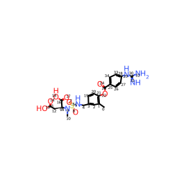 Cc1cc(CNS(=O)(=O)N(C)[C@@H](CC(=O)O)C(=O)O)ccc1OC(=O)c1ccc(NC(=N)N)cc1